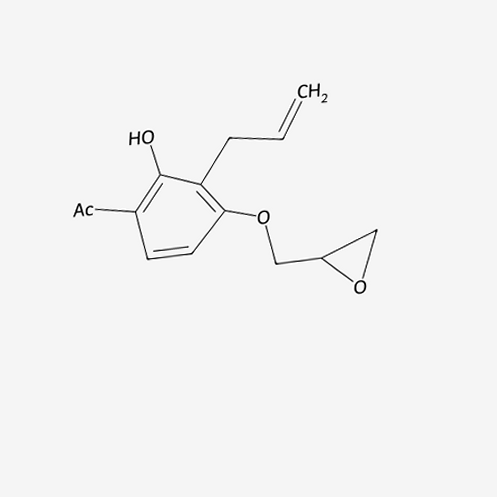 C=CCc1c(OCC2CO2)ccc(C(C)=O)c1O